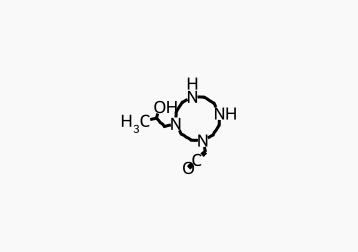 CC(O)CN1CCNCCNCCN(C=C=O)CC1